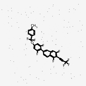 Cc1ccc(C(F)(F)Oc2cc(F)c(-c3ccc4c(F)c(C#CC(F)(F)F)c(F)cc4c3)c(F)c2)cc1